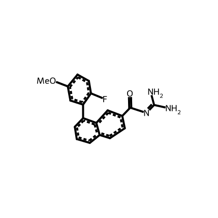 COc1ccc(F)c(-c2cccc3ccc(C(=O)N=C(N)N)cc23)c1